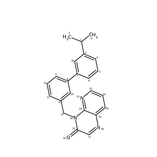 CC(C)c1cccc(-c2cccc(Cn3c(=O)cnc4cccnc43)c2)c1